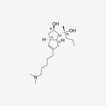 CCC[C@@](C)(O)[C@@H]1[C@H]2CC(CCCCCN(C)C)=C[C@H]2C[C@H]1O